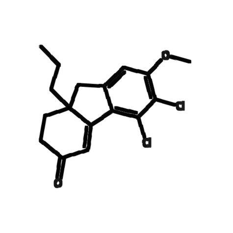 CCCC12CCC(=O)C=C1c1c(cc(OC)c(Cl)c1Cl)C2